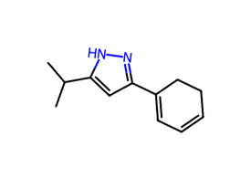 CC(C)c1cc(C2=CC=CCC2)n[nH]1